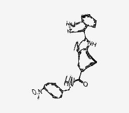 O=C(NCc1ccc([N+](=O)[O-])cc1)c1ccc2[nH]c(-c3n[nH]c4ccccc34)nc2c1